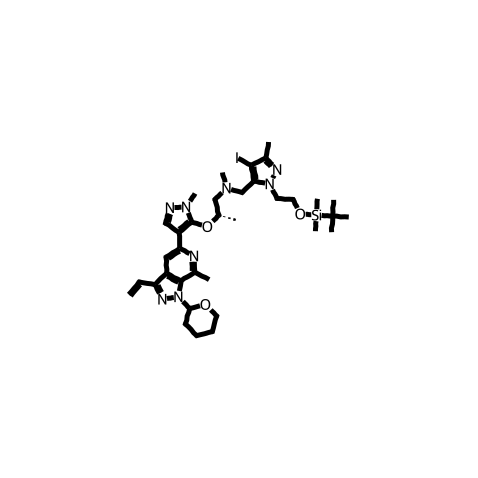 C=Cc1nn(C2CCCCO2)c2c(C)nc(-c3cnn(C)c3O[C@@H](C)CN(C)Cc3c(I)c(C)nn3CCO[Si](C)(C)C(C)(C)C)cc12